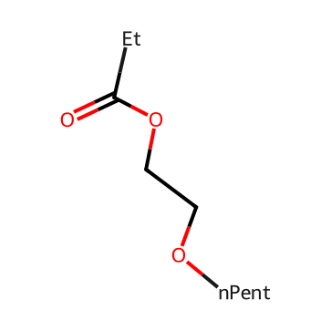 CCCCCOCCOC(=O)CC